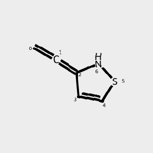 C=C=C1C=CSN1